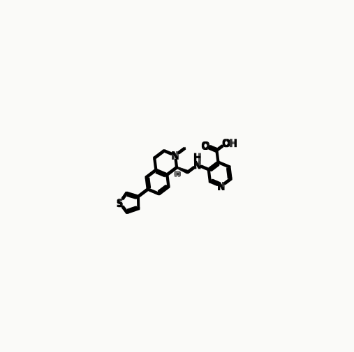 CN1CCc2cc(-c3ccsc3)ccc2[C@@H]1CNc1cnccc1C(=O)O